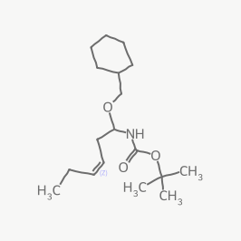 CC/C=C\CC(NC(=O)OC(C)(C)C)OCC1CCCCC1